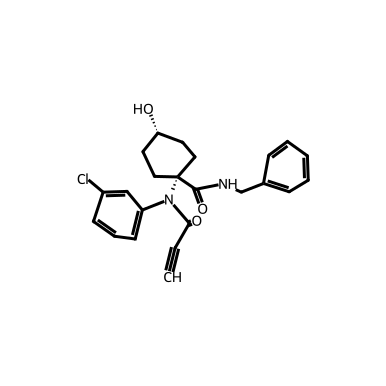 C#CC(=O)N(c1cccc(Cl)c1)[C@]1(C(=O)NCc2ccccc2)CC[C@H](O)CC1